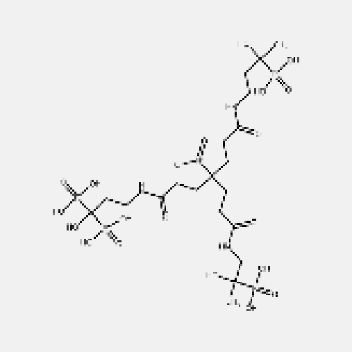 CC(O)(CCNC(=O)CCC(CCC(=O)NCCC(O)(P(=O)(O)O)P(=O)(O)O)(CCC(=O)NCC(C)(O)P(=O)(O)O)[N+](=O)[O-])P(=O)(O)O